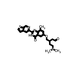 Cc1cc(OCC(CC=O)CCN(C)C)cc2c(=O)[nH]c(-c3cc4ccsc4cn3)nc12